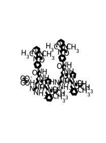 CN1C(=O)C(=Nc2ccc(NC(=O)[C@H](CCCNC(=N)N)NC(=O)[C@@H]3CCCN3C(=O)[C@@H](Cc3ccccc3)NOC(C)(C)C)cc2)c2c1ccc[n+]2C.CN1C(=O)C(=Nc2ccc(NC(=O)[C@H](CCCNC(=N)N)NC(=O)[C@@H]3CCCN3C(=O)[C@@H](Cc3ccccc3)NOC(C)(C)C)cc2)c2c1ccc[n+]2C.O=S(=O)([O-])[O-]